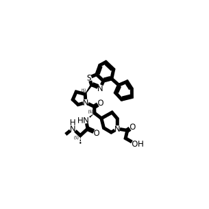 CN[C@@H](C)C(=O)N[C@H](C(=O)N1CCC[C@H]1c1nc2c(-c3ccccc3)cccc2s1)C1CCN(C(=O)CO)CC1